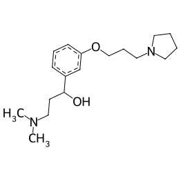 CN(C)CCC(O)c1cccc(OCCCN2CCCC2)c1